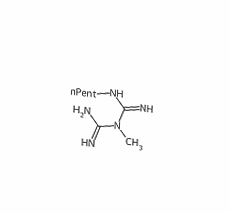 CCCCCNC(=N)N(C)C(=N)N